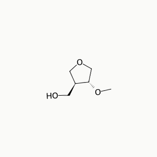 CO[C@H]1COC[C@@H]1CO